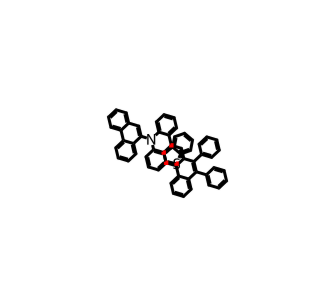 c1ccc(-c2c(-c3ccccc3)c3cc(-c4ccccc4N(c4cc5ccccc5c5ccccc45)c4cccc5sc6ccccc6c45)ccc3c3ccccc23)cc1